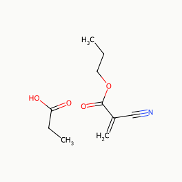 C=C(C#N)C(=O)OCCC.CCC(=O)O